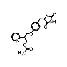 CC(=O)OCC(COc1ccc(CC2SC(=O)NC2=O)cc1)c1ccccn1